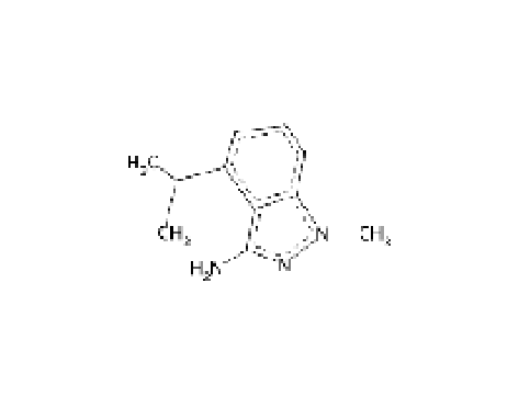 CC(C)c1cccc2c1c(N)nn2C